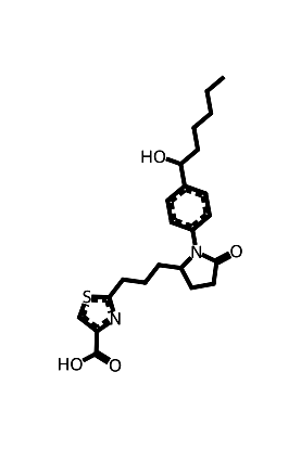 CCCCCC(O)c1ccc(N2C(=O)CCC2CCCc2nc(C(=O)O)cs2)cc1